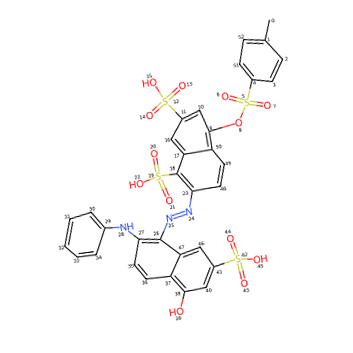 Cc1ccc(S(=O)(=O)Oc2cc(S(=O)(=O)O)cc3c(S(=O)(=O)O)c(N=Nc4c(Nc5ccccc5)ccc5c(O)cc(S(=O)(=O)O)cc45)ccc23)cc1